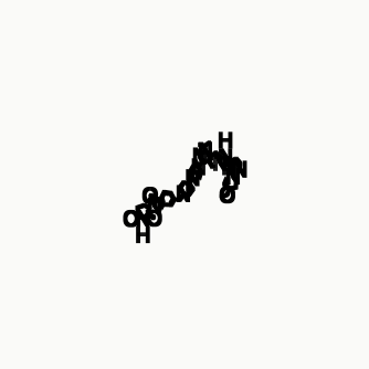 COC1CCN(c2nccc(Nc3cc4c(cn3)c(N3CCN(C5CCN(Cc6ccc7c(c6)CN(C6CCC(=O)NC6=O)C7=O)CC5)CC3)nn4C(C)C)n2)CC1